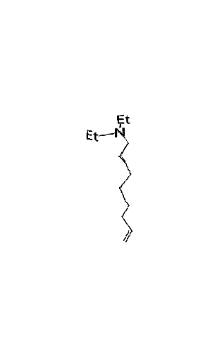 C=CCCCCCCN(CC)CC